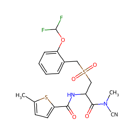 Cc1ccc(C(=O)NC(CS(=O)(=O)Cc2ccccc2OC(F)F)C(=O)N(C)C#N)s1